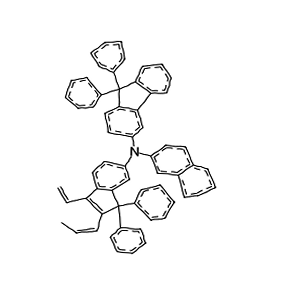 C=CC1=C(/C=C\C)C(c2ccccc2)(c2ccccc2)c2cc(N(c3ccc4c(c3)-c3ccccc3C4(c3ccccc3)c3ccccc3)c3ccc4ccccc4c3)ccc21